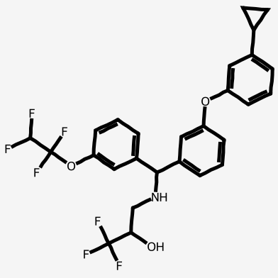 OC(CNC(c1cccc(Oc2cccc(C3CC3)c2)c1)c1cccc(OC(F)(F)C(F)F)c1)C(F)(F)F